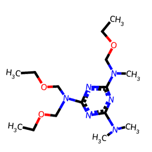 CCOCN(C)c1nc(N(C)C)nc(N(COCC)COCC)n1